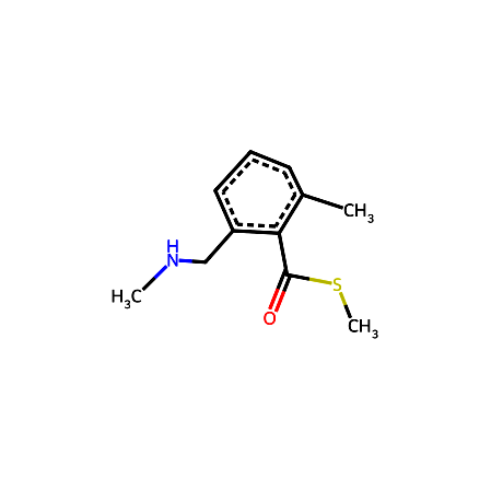 CNCc1cccc(C)c1C(=O)SC